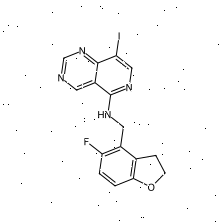 Fc1ccc2c(c1CNc1ncc(I)c3ncncc13)CCO2